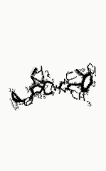 Cc1nc(N2CCC3(CC2)C[C@@H](OC2CC2)C[C@H]3N)[c]nc1-c1cccc(Cl)c1Cl